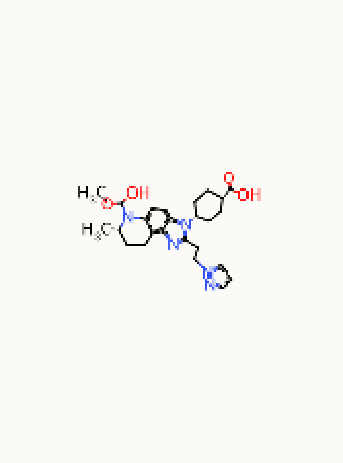 COC(O)N1c2ccc3c(nc(CCn4cccn4)n3[C@H]3CC[C@H](C(=O)O)CC3)c2CC[C@@H]1C